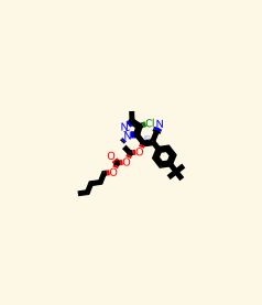 CCCCCOC(=O)OC(C)O/C(=C(/C#N)c1ccc(C(C)(C)C)cc1)c1c(Cl)c(C)nn1C